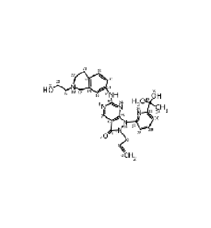 C=CCn1c(=O)c2cnc(Nc3ccc4c(c3)CN(CCO)CC4)nc2n1-c1cccc(C(C)(C)O)n1